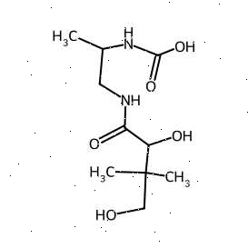 CC(CNC(=O)C(O)C(C)(C)CO)NC(=O)O